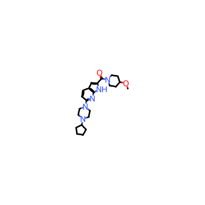 COC1CCN(C(=O)c2cc3ccc(N4CCN(C5CCCC5)CC4)nc3[nH]2)CC1